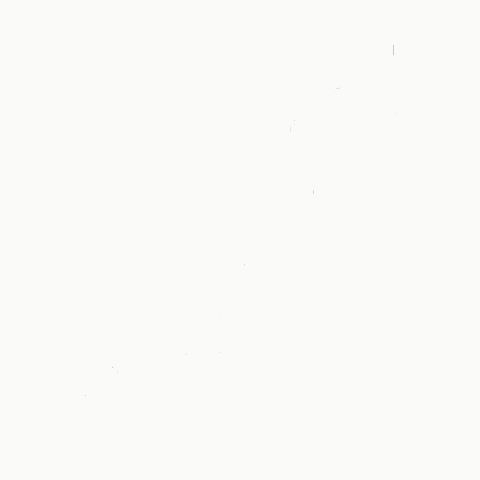 Clc1ccc(COc2ccc(C=CCC=Cc3cccs3)cc2)c(Cl)c1